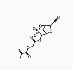 C=C(C)C(=O)OCC(=O)OC1C2CC(OS1(=O)=O)C(C#N)O2